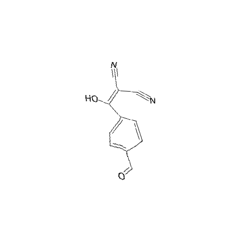 N#CC(C#N)=C(O)c1ccc(C=O)cc1